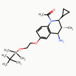 CC(=O)N1c2ccc(OCCO[Si](C)(C)C(C)(C)C)cc2[C@H](N)[C@@H](C)[C@@H]1C1CC1